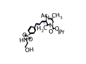 C=C1/C(=C\C=C\c2ccc(S(=O)(=O)NCCO)cc2)N(C(C)=O)[C@@H](C)CN1C(=O)OC(C)C